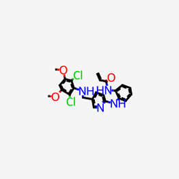 C=CC(=O)Nc1ccccc1Nc1ccc(CNc2c(Cl)c(OC)cc(OC)c2Cl)cn1